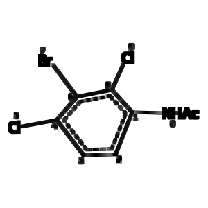 CC(=O)Nc1ccc(Cl)c(Br)c1Cl